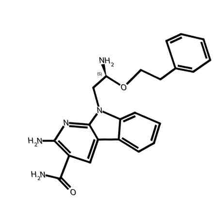 NC(=O)c1cc2c3ccccc3n(C[C@@H](N)OCCc3ccccc3)c2nc1N